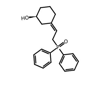 O=P(C/C=C1/CCC[C@H](O)C1)(c1ccccc1)c1ccccc1